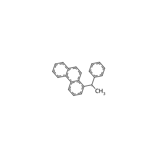 C[C](c1ccccc1)c1cccc2c1ccc1ccccc12